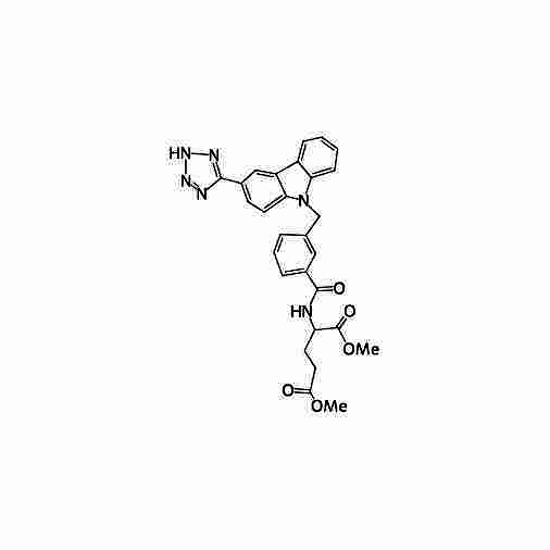 COC(=O)CCC(NC(=O)c1cccc(Cn2c3ccccc3c3cc(-c4nn[nH]n4)ccc32)c1)C(=O)OC